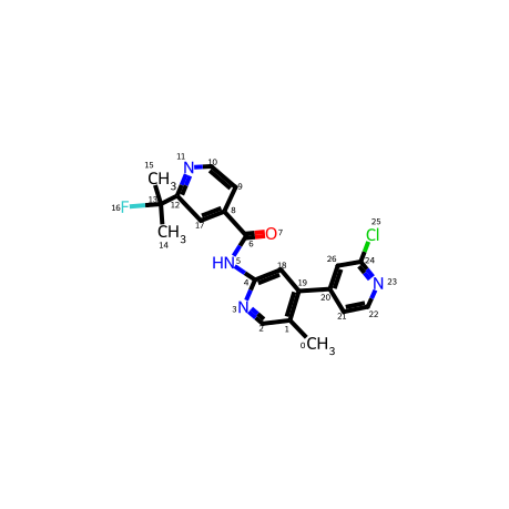 Cc1cnc(NC(=O)c2ccnc(C(C)(C)F)c2)cc1-c1ccnc(Cl)c1